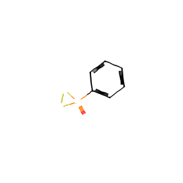 O=P1(c2ccccc2)SS1